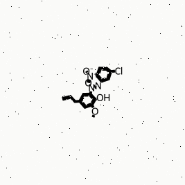 C=CCc1cc(N=Nc2cc(Cl)ccc2[N+](=O)[O-])c(O)c(OC)c1